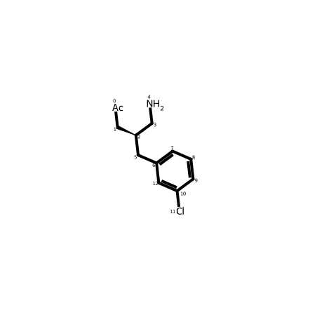 CC(=O)C[C@@H](CN)Cc1cccc(Cl)c1